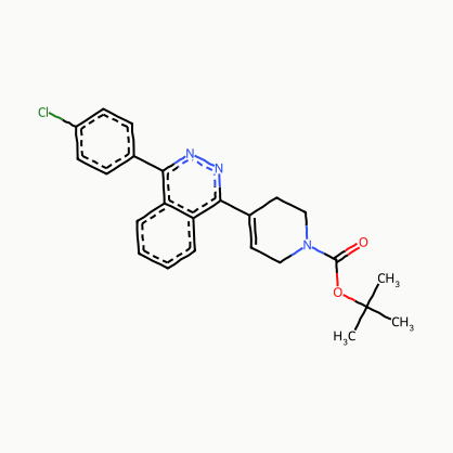 CC(C)(C)OC(=O)N1CC=C(c2nnc(-c3ccc(Cl)cc3)c3ccccc23)CC1